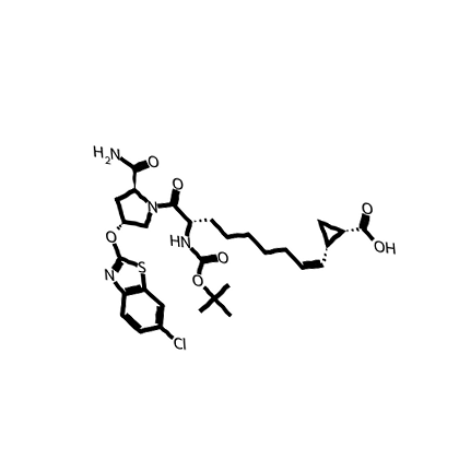 CC(C)(C)OC(=O)N[C@@H](CCCCC/C=C\[C@@H]1C[C@@H]1C(=O)O)C(=O)N1C[C@H](Oc2nc3ccc(Cl)cc3s2)C[C@H]1C(N)=O